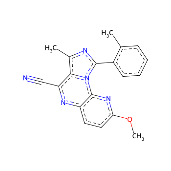 COc1ccc2nc(C#N)c3c(C)nc(-c4ccccc4C)n3c2n1